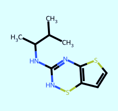 CC(C)C(C)NC1=Nc2sccc2SN1